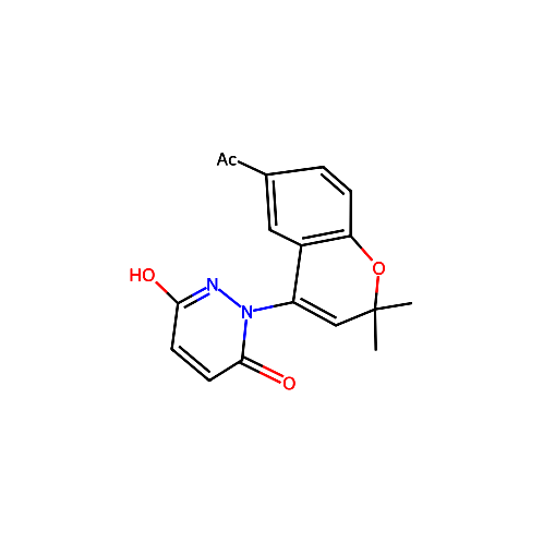 CC(=O)c1ccc2c(c1)C(n1nc(O)ccc1=O)=CC(C)(C)O2